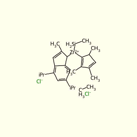 CC.C[SiH2][Zr+2]([C]1=C(C)C(C)=CC1C)[CH]1C(C)=Cc2c(C(C)C)cc(C(C)C)cc21.[Cl-].[Cl-]